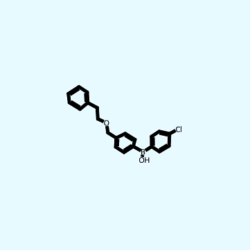 OB(c1ccc(Cl)cc1)c1ccc(COCCc2ccccc2)cc1